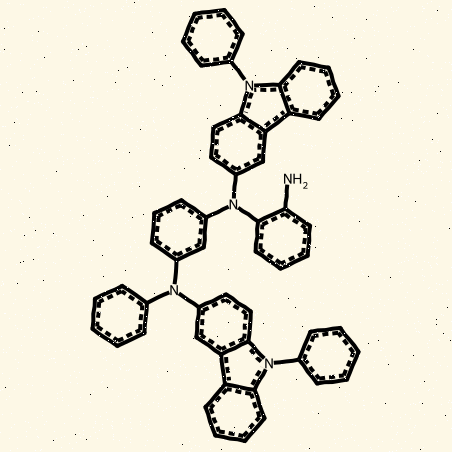 Nc1ccccc1N(c1cccc(N(c2ccccc2)c2ccc3c(c2)c2ccccc2n3-c2ccccc2)c1)c1ccc2c(c1)c1ccccc1n2-c1ccccc1